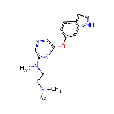 CC(=O)N(C)CCN(C)c1cncc(Oc2ccc3cc[nH]c3c2)n1